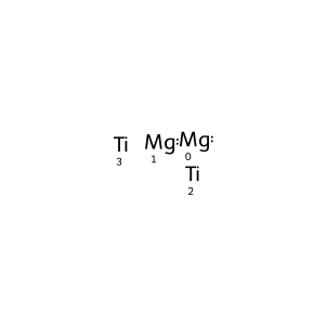 [Mg].[Mg].[Ti].[Ti]